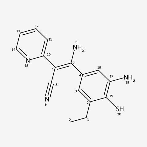 CCc1cc(/C(N)=C(\C#N)c2ccccn2)cc(N)c1S